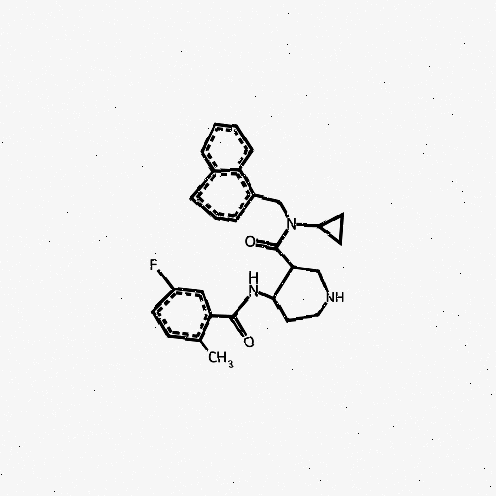 Cc1ccc(F)cc1C(=O)NC1CCNCC1C(=O)N(Cc1cccc2ccccc12)C1CC1